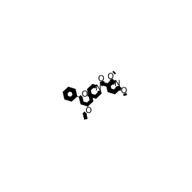 CCO[C@@H]1C[C@H](c2ccccc2)OC2(CCN(C(=O)c3ccc(OC)nc3OC)CC2)C1